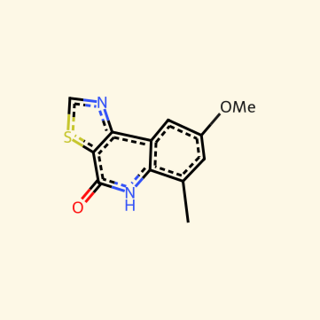 COc1cc(C)c2[nH]c(=O)c3scnc3c2c1